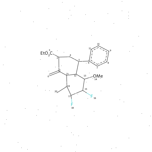 C=C1C(C(=O)OCC)CC(c2ccccc2)C2C(OC)C(F)C(F)C(C)C12